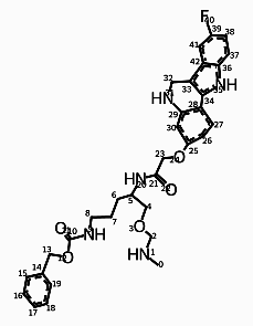 CNCOCC(CCCNC(=O)OCc1ccccc1)NC(=O)COc1ccc2c(c1)NCc1c-2[nH]c2ccc(F)cc12